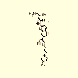 CC(=O)N1CCN(CCCN/C=C(\C=N)c2cnc3ccc(N/C(N)=C/C(=C\N)C(C)C)nc3c2)CC1